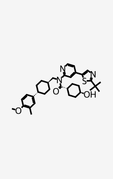 COc1ccc([C@H]2CC[C@H](CN(c3cc(-c4cnc(C(C)(C)C)s4)ccn3)C(=O)[C@H]3CC[C@H](O)CC3)CC2)cc1C